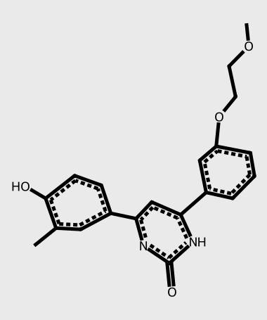 COCCOc1cccc(-c2cc(-c3ccc(O)c(C)c3)nc(=O)[nH]2)c1